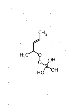 CC=CC(C)OO[Si](O)(O)O